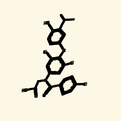 CC(C)c1cc(Oc2c(Cl)cc(N(CC(=O)O)C(=O)c3ccc(Cl)cc3)cc2Cl)ccc1O